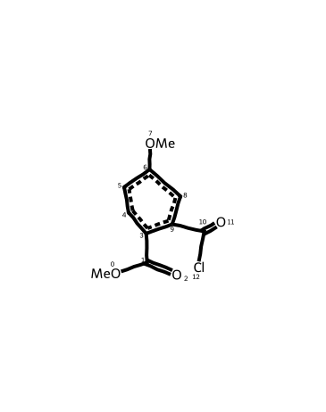 COC(=O)c1ccc(OC)cc1C(=O)Cl